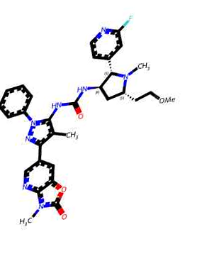 COCC[C@@H]1C[C@@H](NC(=O)Nc2c(C)c(-c3cnc4c(c3)oc(=O)n4C)nn2-c2ccccc2)[C@H](c2ccnc(F)c2)N1C